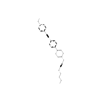 CCCCCC#CCC1CCC(c2ccc(C#Cc3ccc(CC)cc3)cc2)CC1